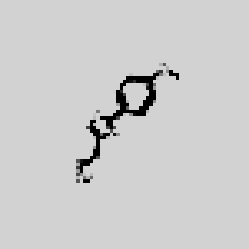 COc1ccc(-c2nc(CCO)cs2)cc1